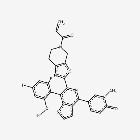 C=CC(=O)N1CCc2nc(-c3nc(-c4ccc(=O)n(C)c4)c4ccsc4c3-c3c(F)cc(F)cc3OC(C)C)sc2C1